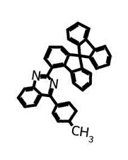 CC1C=CC(c2nc(-c3cccc4c3-c3ccccc3C43c4ccccc4-c4ccccc43)nc3ccccc23)=CC1